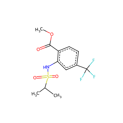 COC(=O)c1ccc(C(F)(F)F)cc1NS(=O)(=O)C(C)C